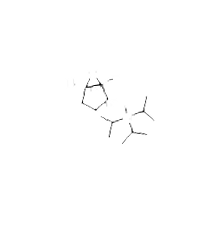 CC(C)[Si](O[C@@H]1CC[C@H]2O[C@@H]21)(C(C)C)C(C)C